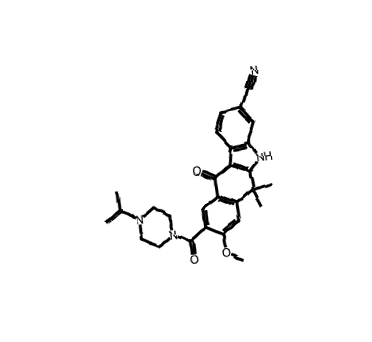 COc1cc2c(cc1C(=O)N1CCN(C(C)C)CC1)C(=O)c1c([nH]c3cc(C#N)ccc13)C2(C)C